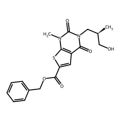 C[C@@H](CO)Cn1c(=O)c2cc(C(=O)OCc3ccccc3)sc2n(C)c1=O